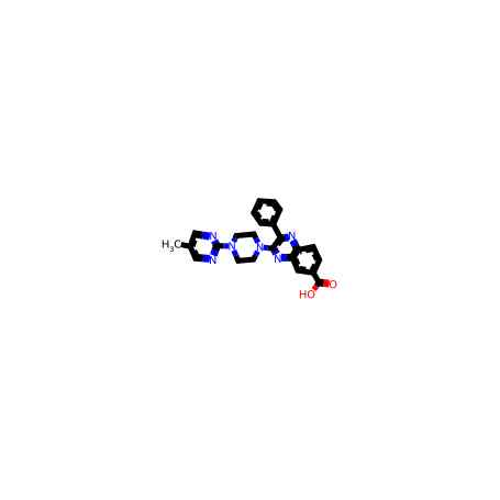 Cc1cnc(N2CCN(c3nc4cc(C(=O)O)ccc4nc3-c3ccccc3)CC2)nc1